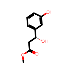 COC(=O)C[C@@H](O)c1cccc(O)c1